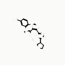 Cc1c2c(-c3noc(C4CCOC4)n3)ncn2c2ccc(Cl)cc2[n+]1[O-]